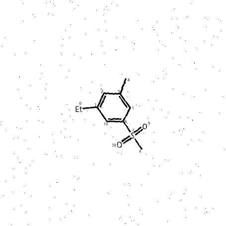 CCc1[c]c(C)cc(S(C)(=O)=O)c1